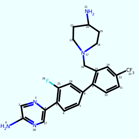 Nc1cnc(-c2ccc(-c3ccc(C(F)(F)F)cc3CN3CCC(N)CC3)cc2F)cn1